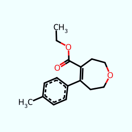 CCOC(=O)C1=C(c2ccc(C)cc2)CCOCC1